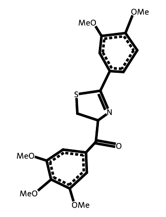 COc1ccc(C2=NC(C(=O)c3cc(OC)c(OC)c(OC)c3)CS2)cc1OC